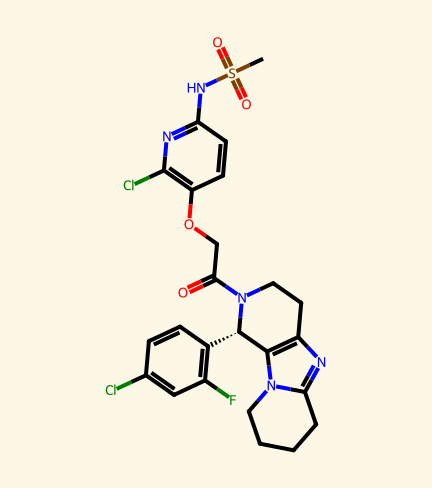 CS(=O)(=O)Nc1ccc(OCC(=O)N2CCc3nc4n(c3[C@@H]2c2ccc(Cl)cc2F)CCCC4)c(Cl)n1